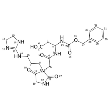 O=C(O)CC(NC(=O)C[N+]1(CCCNC2=NCCN2)C(=O)CNC1=O)NC(=O)OCc1ccccc1